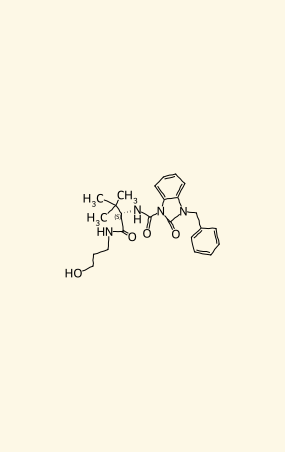 CC(C)(C)[C@H](NC(=O)n1c(=O)n(Cc2ccccc2)c2ccccc21)C(=O)NCCCO